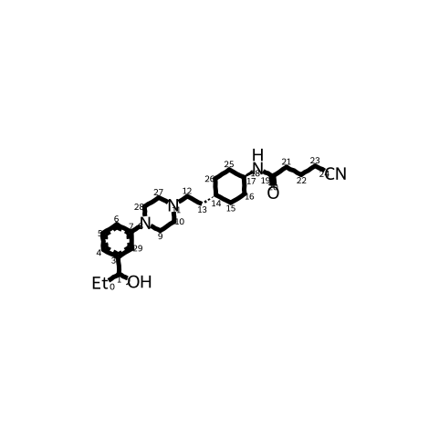 CCC(O)c1cccc(N2CCN(CC[C@H]3CC[C@H](NC(=O)CCCC#N)CC3)CC2)c1